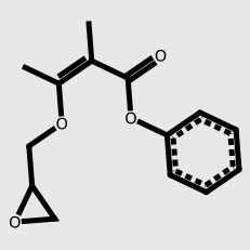 CC(OCC1CO1)=C(C)C(=O)Oc1ccccc1